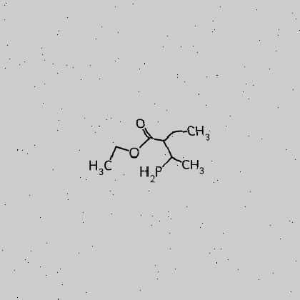 CCOC(=O)C(CC)C(C)P